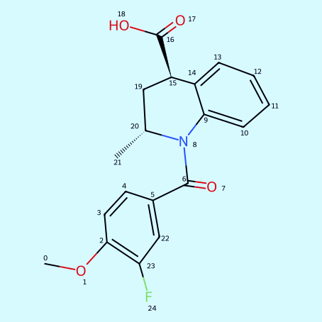 COc1ccc(C(=O)N2c3ccccc3[C@H](C(=O)O)C[C@H]2C)cc1F